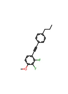 CCCc1ccc(C#Cc2ccc(OC)c(F)c2F)cc1